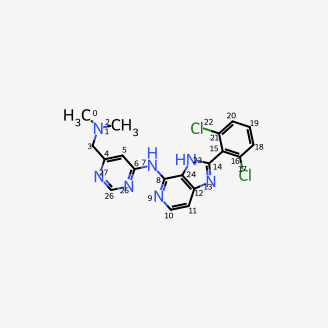 CN(C)Cc1cc(Nc2nccc3nc(-c4c(Cl)cccc4Cl)[nH]c23)ncn1